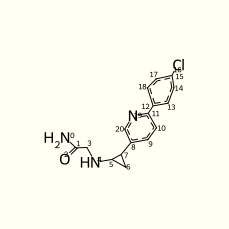 NC(=O)CNC1CC1c1ccc(-c2ccc(Cl)cc2)nc1